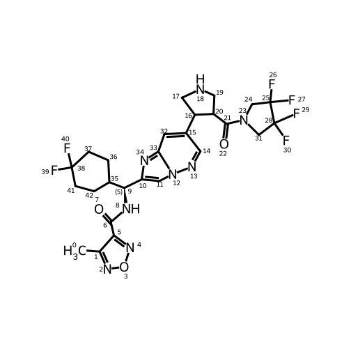 Cc1nonc1C(=O)N[C@H](c1cn2ncc(C3CNCC3C(=O)N3CC(F)(F)C(F)(F)C3)cc2n1)C1CCC(F)(F)CC1